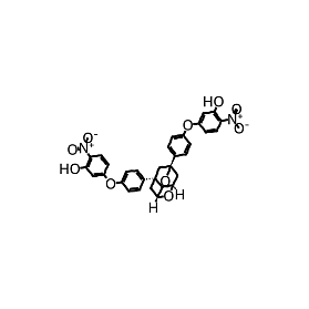 O=[N+]([O-])c1ccc(Oc2ccc([C@@]34C[C@H]5C[C@@](c6ccc(Oc7ccc([N+](=O)[O-])c(O)c7)cc6)(C3)O[C@@H](C4)O5)cc2)cc1O